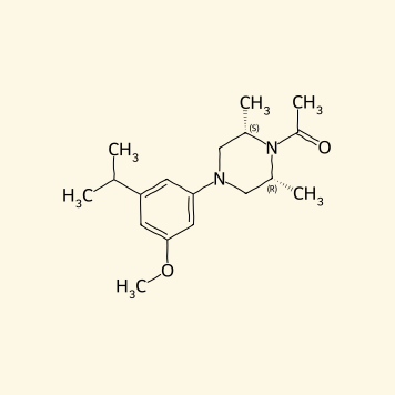 COc1cc(C(C)C)cc(N2C[C@@H](C)N(C(C)=O)[C@@H](C)C2)c1